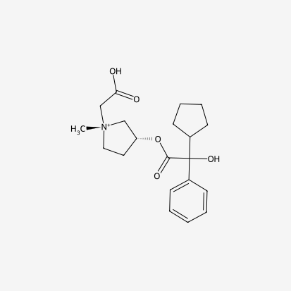 C[N@+]1(CC(=O)O)CC[C@@H](OC(=O)C(O)(c2ccccc2)C2CCCC2)C1